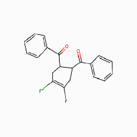 O=C(c1ccccc1)C1CC(F)=C(F)CC1C(=O)c1ccccc1